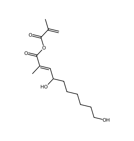 C=C(C)C(=O)OC(=O)C(C)=CC(O)CCCCCCO